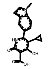 Cn1ccc2cc(-c3[nH]c(=O)c(C(=O)O)c(O)c3C3CC3)ccc21